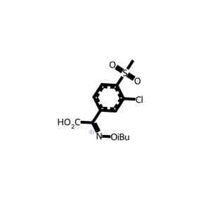 CC(C)CO/N=C(/C(=O)O)c1ccc(S(C)(=O)=O)c(Cl)c1